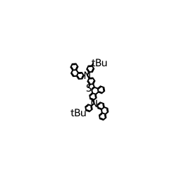 CC(C)(C)c1ccc(N(c2ccc3c(c2)sc2c4ccc(N(c5ccc(C(C)(C)C)cc5)c5ccc6ccc7ccccc7c6c5)cc4c4ccccc4c32)c2ccc3ccc4ccccc4c3c2)cc1